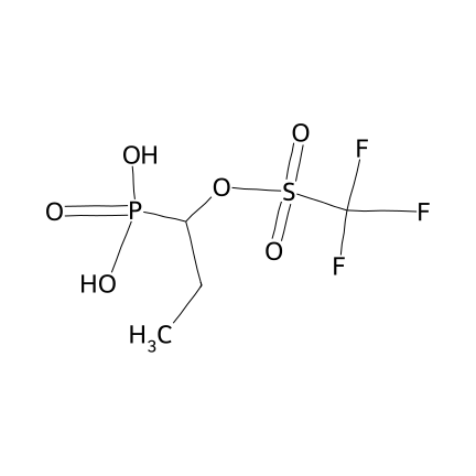 CCC(OS(=O)(=O)C(F)(F)F)P(=O)(O)O